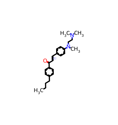 CCCCc1ccc(C(=O)/C=C/c2ccc(N(C)CCN(C)C)cc2)cc1